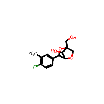 Cc1cc(C2OC3(CO)COC2C3O)ccc1F